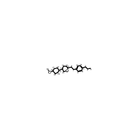 CCCc1ccc(CCC2CCC(C3CCC(OC)CC3)CO2)cc1